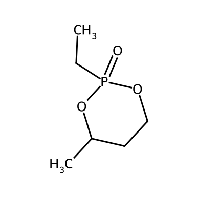 CCP1(=O)OCCC(C)O1